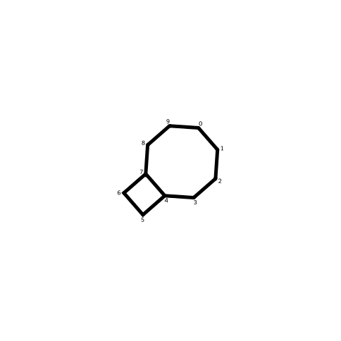 C1CCCC2CC[C]2CC1